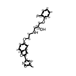 Cc1nc(-c2cc3cc(OCCNC[C@H](O)COc4ccccc4F)ccc3o2)no1